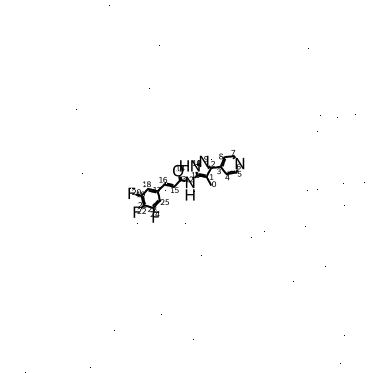 Cc1c(-c2ccncc2)n[nH]c1NC(=O)C=Cc1cc(F)c(F)c(F)c1